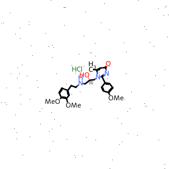 COc1ccc(-c2nc(=O)cc(C)n2C[C@@H](O)CNCCc2ccc(OC)c(OC)c2)cc1.Cl